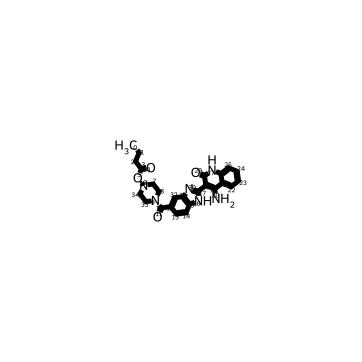 CCCC(=O)ON1CCN(C(=O)c2ccc3[nH]c(-c4c(N)c5ccccc5[nH]c4=O)nc3c2)CC1